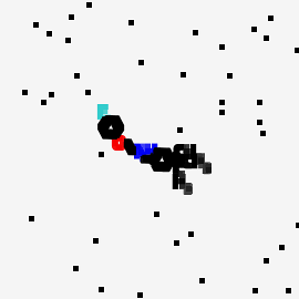 CC(C)(C)c1ccc(CNCCOc2ccc(F)cc2)cc1